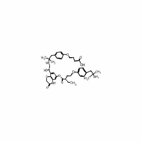 CCC(CCOc1ccc(CC(C)(C)N)cc1)C(=O)Oc1cc2c(c(C(O)CNC(C)(C)Cc3ccc(OCCCC(=O)O)cc3)c1)OCC(=O)N2